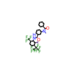 CN(C(=O)c1ccccc1)c1cccc(C(=O)Nc2c(C(F)(F)F)ccc(C(F)(C(F)(F)F)C(F)(F)F)c2I)c1